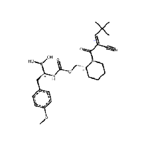 COc1ccc(C[C@H](NC(=O)OC[C@H]2CCCCN2C(=O)/C(C#N)=C/C(C)(C)C)B(O)O)cc1